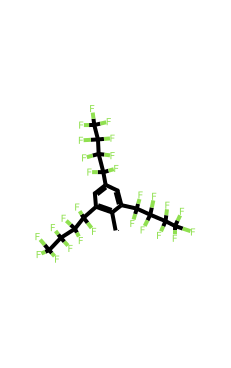 [CH2]c1c(C(F)(F)C(F)(F)C(F)(F)C(F)(F)F)cc(C(F)(F)C(F)(F)C(F)(F)C(F)(F)F)cc1C(F)(F)C(F)(F)C(F)(F)C(F)(F)F